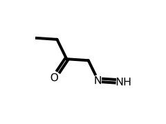 CCC(=O)CN=N